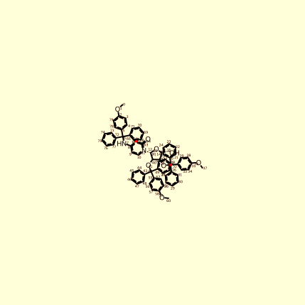 COc1ccc(C(Nc2ccn([C@@H]3O[C@H](CO)[C@@H](OC(c4ccccc4)(c4ccccc4)c4ccc(OC)cc4)C3OC(c3ccccc3)(c3ccccc3)c3ccc(OC)cc3)c(=O)n2)(c2ccccc2)c2ccccc2)cc1